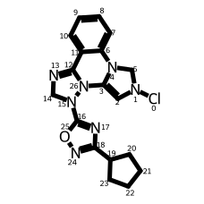 ClN1C=C2N(C1)c1ccccc1C1=NCN(c3nc(C4CCCC4)no3)N21